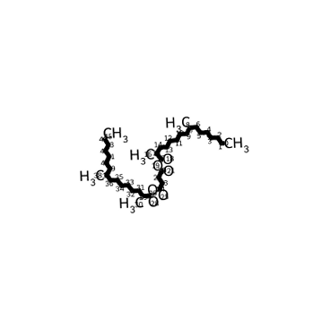 CCCCCCCC(C)CCCCCCC(C)C(=O)OC(=O)CCC(=O)OC(=O)C(C)CCCCCCC(C)CCCCCCC